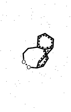 c1cc2c3ccc(cc3c1)OOCC2